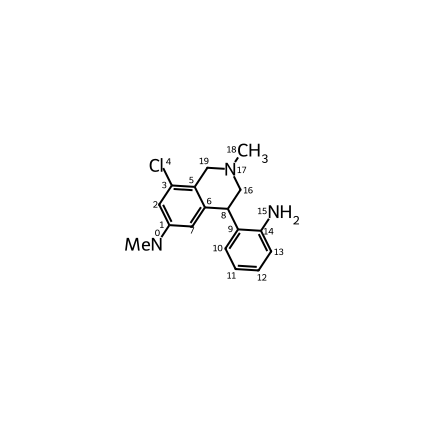 CNc1cc(Cl)c2c(c1)C(c1ccccc1N)CN(C)C2